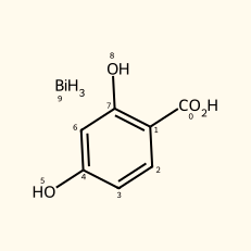 O=C(O)c1ccc(O)cc1O.[BiH3]